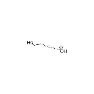 C#CCC#CCCCCCCCCCCCCC(=O)O